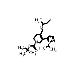 CC(CI)OCC1=C(c2ccnn2C(C)C)CN(C(=O)OC(C)(C)C)CC1